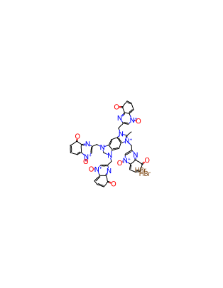 Br.Br.Cc1n(CC2=C[N+](=O)C3=CC=CC(=O)C3=N2)c2cc3c(cc2[n+]1CC1=C[N+](=O)C2=CC=CC(=O)C2=N1)N(CC1=C[N+](=O)C2=CC=CC(=O)C2=N1)CN3CC1=C[N+](=O)C2=CC=CC(=O)C2=N1